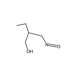 CCC(CO)CN=O